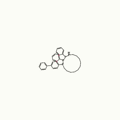 c1ccc(-c2ccc(P3CCCCCCCCCCPP(c4ccccc4)P3c3ccccc3)cc2)cc1